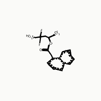 O=C(OC(C(F)(F)F)C(F)(F)S(=O)(=O)O)c1cccc2ccccc12